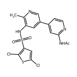 CC(=O)Nc1cc(-c2cnc(C)c(NS(=O)(=O)c3cc(Cl)sc3Cl)c2)ccn1